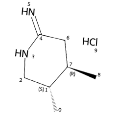 C[C@@H]1CNC(=N)C[C@H]1C.Cl